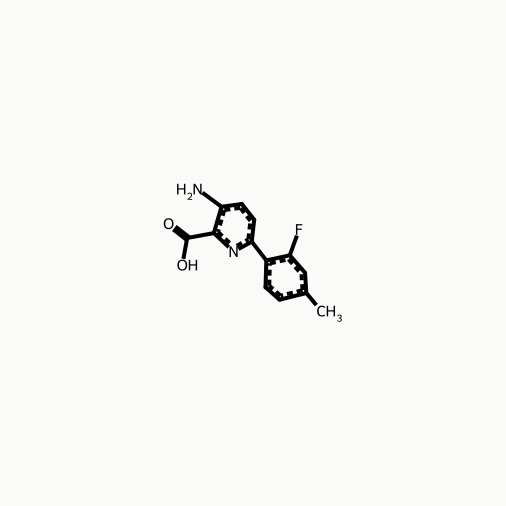 Cc1ccc(-c2ccc(N)c(C(=O)O)n2)c(F)c1